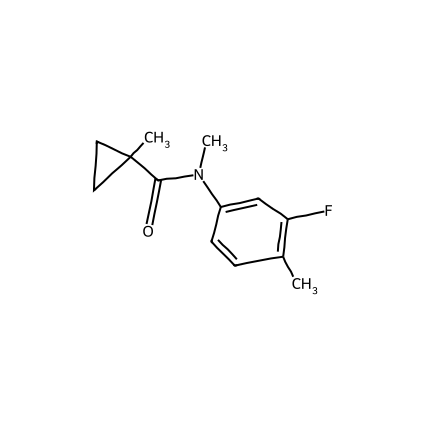 Cc1ccc(N(C)C(=O)C2(C)CC2)cc1F